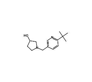 CC(C)(C)c1ccc(CN2CCC(O)C2)cn1